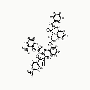 CN(C)c1ccc(C(=O)NC2=Nc3cccc(OCCCC(=O)N(Cc4ccccc4)Cc4ccccc4)c3CN2CC(=O)Oc2ccccc2N(C)C)cc1